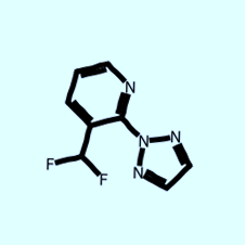 FC(F)c1cccnc1-n1nccn1